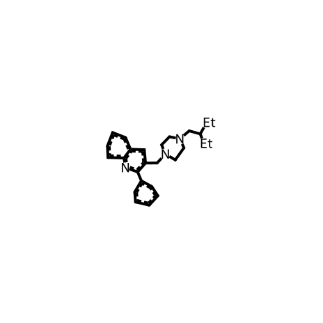 CCC(CC)CN1CCN(Cc2cc3ccccc3nc2-c2ccccc2)CC1